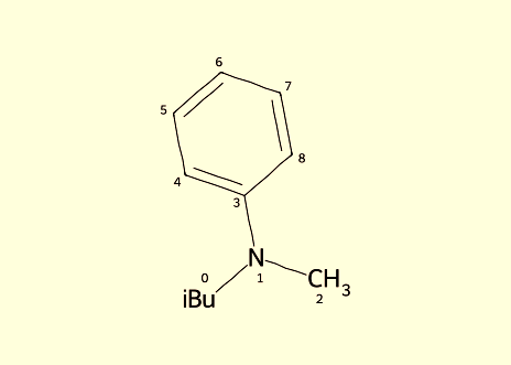 CCC(C)N(C)c1ccccc1